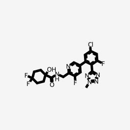 Cn1nnc(-c2c(F)cc(Cl)cc2-c2cnc(CNC(=O)C3(O)CCC(F)(F)CC3)c(F)c2)n1